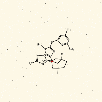 Cc1cc(Oc2nc(NC3[C@@H]4CC[C@H]3CN(c3nc(C)no3)C4)nn2C(C)C)cc(C(F)(F)F)c1